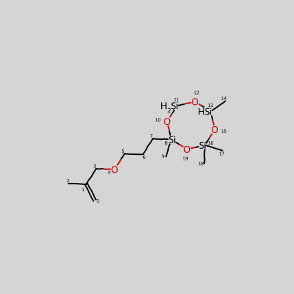 C=C(C)COCCC[Si]1(C)O[SiH2]O[SiH](C)O[Si](C)(C)O1